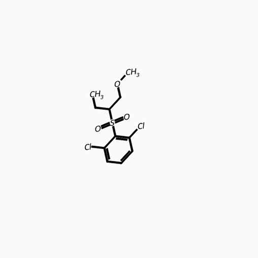 CCC(COC)S(=O)(=O)c1c(Cl)cccc1Cl